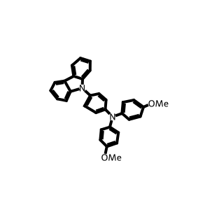 COc1ccc(N(c2ccc(OC)cc2)c2ccc(-n3c4ccccc4c4ccccc43)cc2)cc1